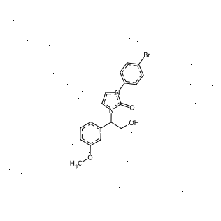 COc1cccc(C(CO)n2ccn(-c3ccc(Br)cc3)c2=O)c1